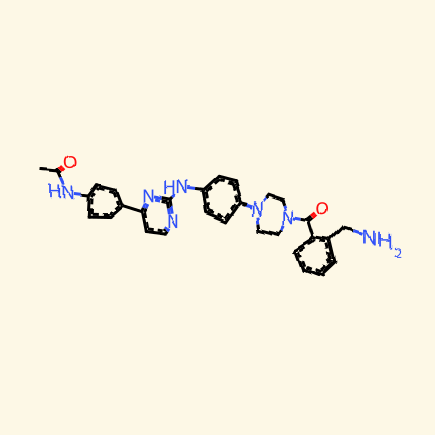 CC(=O)Nc1ccc(-c2ccnc(Nc3ccc(N4CCN(C(=O)c5ccccc5CN)CC4)cc3)n2)cc1